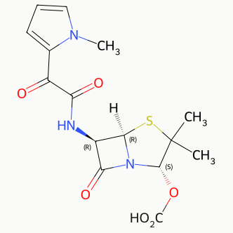 Cn1cccc1C(=O)C(=O)N[C@@H]1C(=O)N2[C@@H]1SC(C)(C)[C@@H]2OC(=O)O